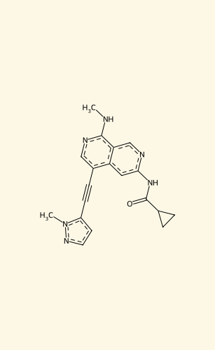 CNc1ncc(C#Cc2ccnn2C)c2cc(NC(=O)C3CC3)ncc12